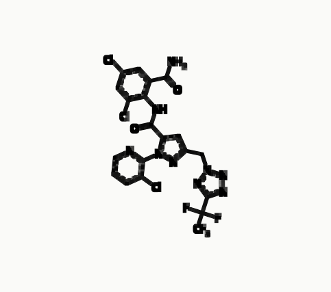 NC(=O)c1cc(Cl)cc(Cl)c1NC(=O)c1cc(Cn2nnc(C(F)(F)C(F)(F)F)n2)nn1-c1ncccc1Cl